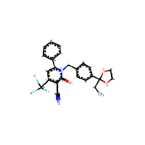 CCC1(c2ccc(Cn3c(-c4ccccc4)cc(C(F)(F)F)c(C#N)c3=O)cc2)OCCO1